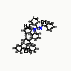 C=C(/N=C(\c1ccccc1C)n1c2ccccc2c2c(-c3ccc4c(c3)C(C)(c3ccccc3)c3ccccc3-4)cccc21)c1ccccc1